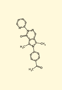 CC(=O)c1ccc(-n2c(C)c3cnn(-c4ccccn4)c(=O)c3c2C)cc1